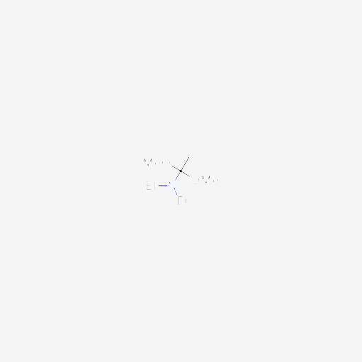 CCN(CC)C(C)(OC)OC